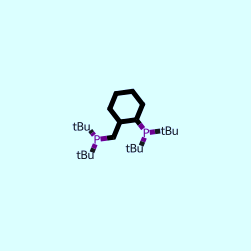 CC(C)(C)P(CC1CCCCC1P(C(C)(C)C)C(C)(C)C)C(C)(C)C